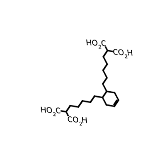 O=C(O)C(CCCCCC1CC=CCC1CCCCCC(C(=O)O)C(=O)O)C(=O)O